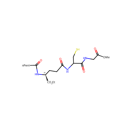 CCCCCC(=O)N[C@@H](CCC(=O)NC(CS)C(=O)NCC(=O)OC)C(=O)OCC